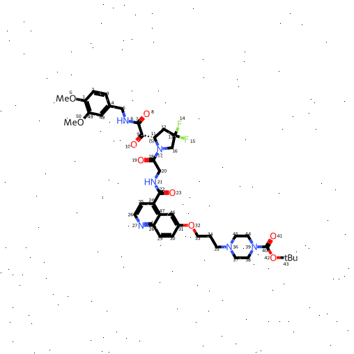 COc1ccc(CNC(=O)C(=O)[C@@H]2CC(F)(F)CN2C(=O)CNC(=O)c2ccnc3ccc(OCCCN4CCN(C(=O)OC(C)(C)C)CC4)cc23)cc1OC